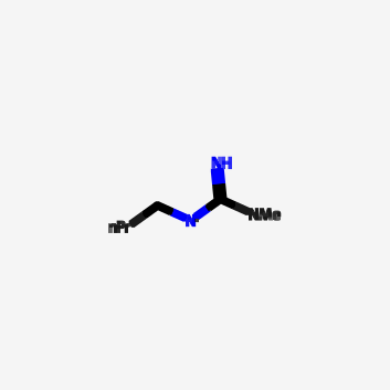 CCCC[N]C(=N)NC